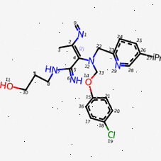 C=N/C(C)=C(/C(=N)NCCCO)N(COc1ccc(Cl)cc1)Cc1ccc(C(C)C)cn1